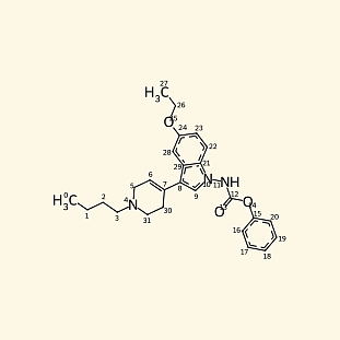 CCCCN1CC=C(c2cn(NC(=O)Oc3ccccc3)c3ccc(OCC)cc23)CC1